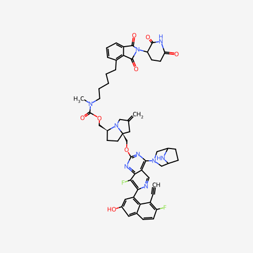 C#Cc1c(F)ccc2cc(O)cc(-c3ncc4c(N5CC6CCC(C5)N6)nc(OC[C@@]56CC[C@@H](COC(=O)N(C)CCCCCc7cccc8c7C(=O)N(C7CCC(=O)NC7=O)C8=O)N5CC(=C)C6)nc4c3F)c12